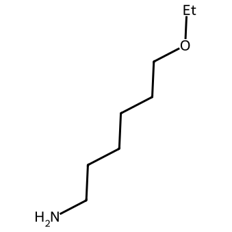 CCOCCCCCCN